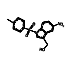 Cc1ccc(S(=O)(=O)n2cc(CO)c3cc([N+](=O)[O-])ccc32)cc1